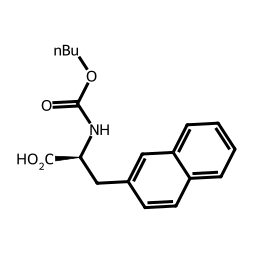 CCCCOC(=O)N[C@@H](Cc1ccc2ccccc2c1)C(=O)O